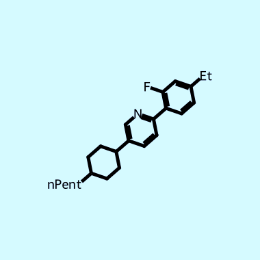 CCCCCC1CCC(c2ccc(-c3ccc(CC)cc3F)nc2)CC1